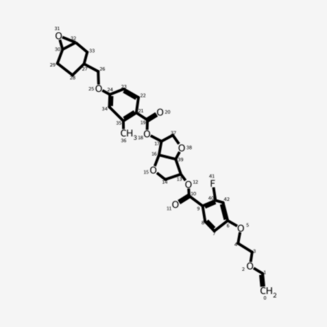 C=COCCOc1ccc(C(=O)OC2COC3C(OC(=O)c4ccc(OCC5CCC6OC6C5)cc4C)COC23)c(F)c1